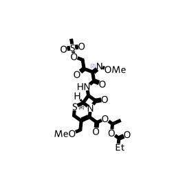 CCC(=O)OC(C)OC(=O)C1=C(COC)CS[C@@H]2C(NC(=O)/C(=N\OC)C(=O)COS(C)(=O)=O)C(=O)N12